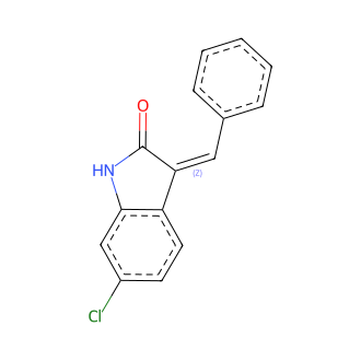 O=C1Nc2cc(Cl)ccc2/C1=C/c1ccccc1